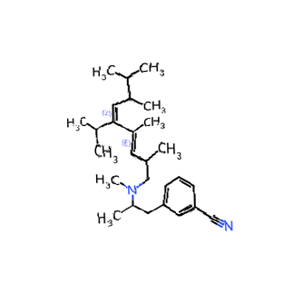 CC(=C\C(C)CN(C)C(C)Cc1cccc(C#N)c1)/C(=C\C(C)C(C)C)C(C)C